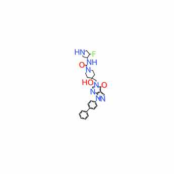 O=C(N[C@H]1CNCC1F)N1CCC(O)(Cn2cnc3c(cnn3-c3ccc(-c4ccccc4)cc3)c2=O)CC1